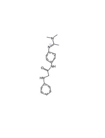 C/C(=N\c1ccc(NC(=O)CNc2ccccc2)cc1)N(C)C